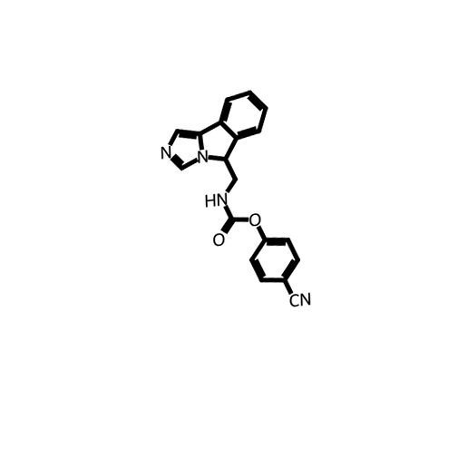 N#Cc1ccc(OC(=O)NCC2c3ccccc3-c3cncn32)cc1